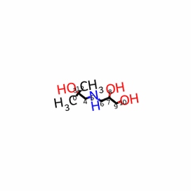 CC(C)(O)CNCC(O)CO